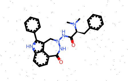 CN(C)[C@@H](Cc1ccccc1)C(=O)NN1Cc2c(-c3ccccc3)[nH]c3cccc(c23)C(=O)N1